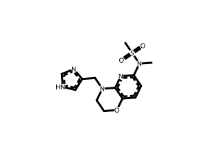 CN(c1ccc2c(n1)N(Cc1c[nH]cn1)CCO2)S(C)(=O)=O